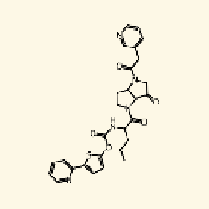 CCCC(NC(=O)Oc1ccc(-c2ccccn2)s1)C(=O)N1CCC2C1C(=O)CN2C(=O)Cc1cccnc1